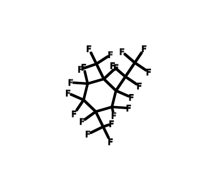 FC(F)(F)C(F)(F)C1(F)C(F)(F)C(F)(C(F)(F)F)C(F)(F)C(F)(F)C1(F)C(F)(F)F